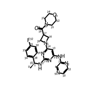 C[C@H](Nc1nc(Nc2cnccn2)cc(N2CC(C(=O)N3CCOCC3)C2)n1)c1ccc(F)cc1